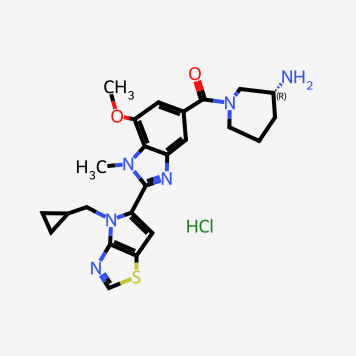 COc1cc(C(=O)N2CCC[C@@H](N)C2)cc2nc(-c3cc4scnc4n3CC3CC3)n(C)c12.Cl